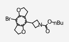 CCCCOC(=O)N1CC(c2c3c(c(Br)c4c2OCC4)OCC3)C1